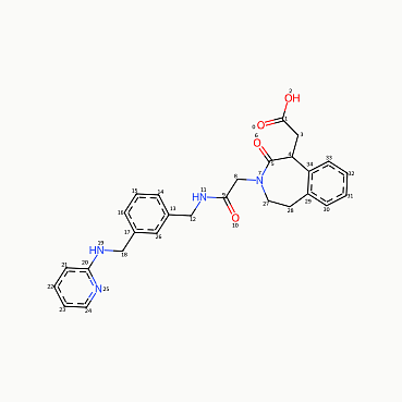 O=C(O)CC1C(=O)N(CC(=O)NCc2cccc(CNc3ccccn3)c2)CCc2ccccc21